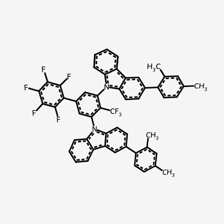 Cc1ccc(-c2ccc3c(c2)c2ccccc2n3-c2cc(-c3c(F)c(F)c(F)c(F)c3F)cc(-n3c4ccccc4c4cc(-c5ccc(C)cc5C)ccc43)c2C(F)(F)F)c(C)c1